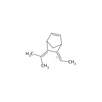 C/C=C1/C(=C(C)C)C2C=CC1C2